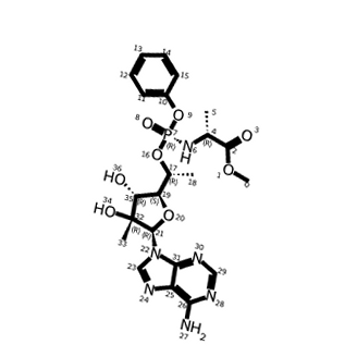 COC(=O)[C@@H](C)N[P@](=O)(Oc1ccccc1)O[C@H](C)[C@H]1O[C@@H](n2cnc3c(N)ncnc32)[C@](C)(O)[C@@H]1O